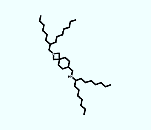 CCCCCCCC(CCCCCC)CN1CC2(CCC(CNC(CCCCCCC)CCCCCCC)CC2)C1